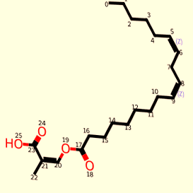 CCCCC/C=C\C/C=C\CCCCCCCC(=O)OC=C(C)C(=O)O